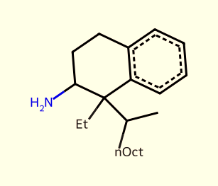 CCCCCCCCC(C)C1(CC)c2ccccc2CCC1N